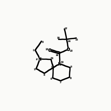 CCN1CCC2(CCCCN2C(=O)OC(C)(C)C)C1